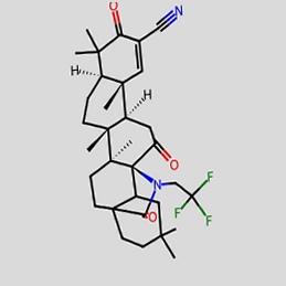 CC1(C)CCC23CC[C@@]4(C)[C@]5(C)CC[C@H]6C(C)(C)C(=O)C(C#N)=C[C@]6(C)[C@H]5CC(=O)[C@@]4(C2C1)N(CC(F)(F)F)C3=O